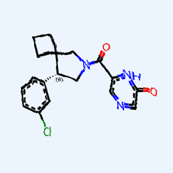 O=C(c1cncc(=O)[nH]1)N1C[C@H](c2cccc(Cl)c2)C2(CCC2)C1